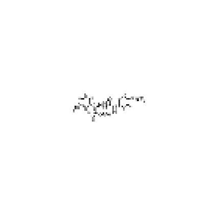 CSC1(C(=NNC(=O)Nc2ccc(OC(F)(F)F)cc2)c2cccc(C(F)(F)F)c2)CC1